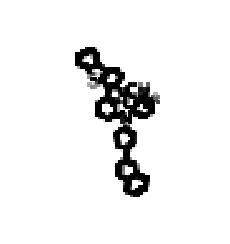 CS1(C)c2ccc3c(sc4ccccc43)c2-c2cccc(N(c3ccccc3)c3ccc(-c4ccc5ccccc5c4)cc3)c21